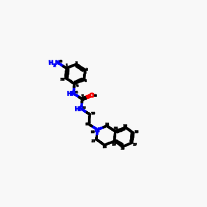 Nc1cccc(NC(=O)NCCN2CCc3ccccc3C2)c1